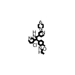 C=CC(=O)Nc1cc(-c2c(-c3ccnc(N4CCN(C)CC4)c3)[nH]c3nccc(Cl)c23)ccc1C